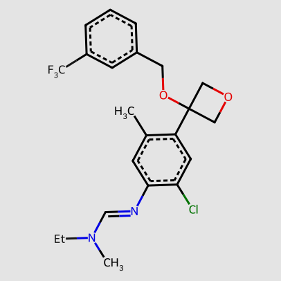 CCN(C)C=Nc1cc(C)c(C2(OCc3cccc(C(F)(F)F)c3)COC2)cc1Cl